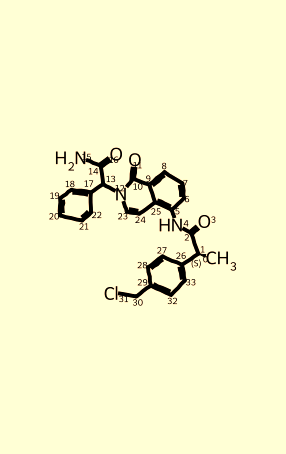 C[C@H](C(=O)Nc1cccc2c(=O)n(C(C(N)=O)c3ccccc3)ccc12)c1ccc(CCl)cc1